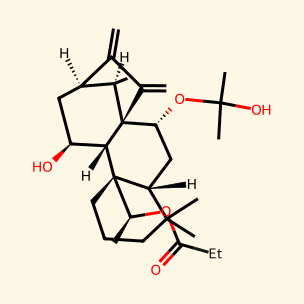 C=C1C(=C)[C@]23[C@H](C)[C@H]1C[C@H](O)[C@H]2[C@]1([C@H](C)OC(=O)CC)CCCC(C)(C)[C@H]1C[C@H]3OC(C)(C)O